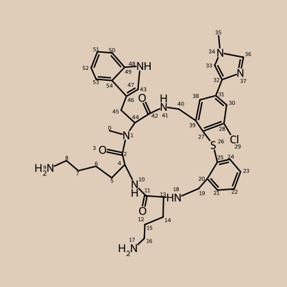 CN1C(=O)C(CCCCN)NC(=O)C(CCCN)NCc2ccccc2Sc2c(Cl)cc(-c3cn(C)cn3)cc2CNC(=O)C1Cc1c[nH]c2ccccc12